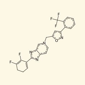 FC1=C(F)C(c2nc3ccn(Cc4cc(-c5ccccc5C(F)(F)F)no4)cc-3n2)=CCC1